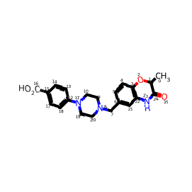 CC1Oc2ccc(CN3CCN(c4ccc(C(=O)O)cc4)CC3)cc2NC1=O